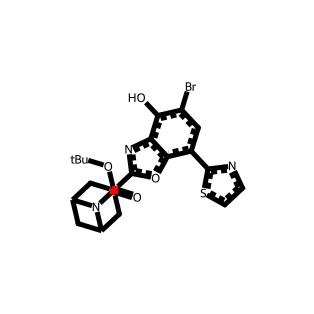 CC(C)(C)OC(=O)N1C2CC1CN(c1nc3c(O)c(Br)cc(-c4nccs4)c3o1)C2